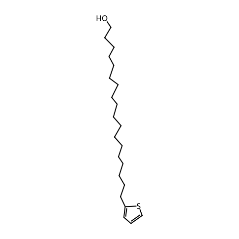 OCCCCCCCCCCCCCCCCCCc1cccs1